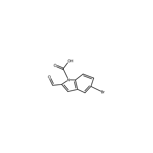 O=Cc1cc2cc(Br)ccc2n1C(=O)O